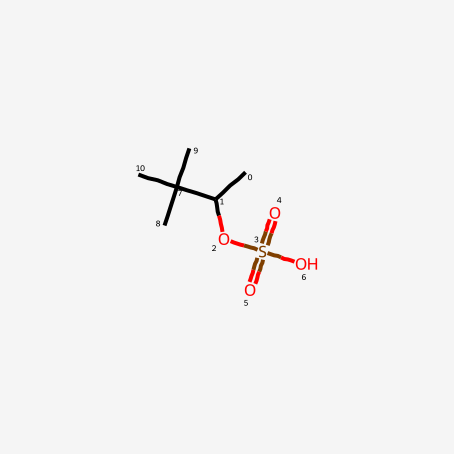 CC(OS(=O)(=O)O)C(C)(C)C